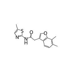 Cc1cnc(NC(=O)Cc2coc3c(C)c(C)ccc23)s1